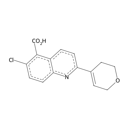 O=C(O)c1c(Cl)ccc2nc(C3=CCOCC3)ccc12